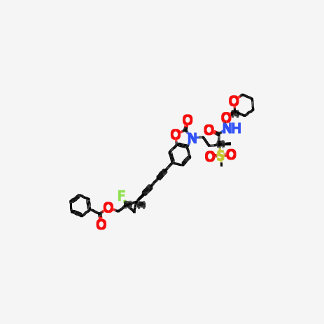 C[C@@](CCn1c(=O)oc2cc(C#CC#C[C@H]3C[C@]3(F)COC(=O)c3ccccc3)ccc21)(C(=O)NO[C@@H]1CCCCO1)S(C)(=O)=O